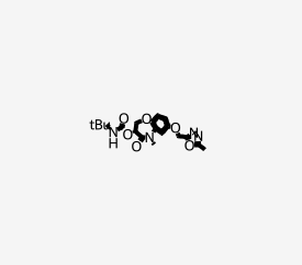 Cc1nnc(COc2ccc3c(c2)N(C)C(=O)[C@@H](OC(=O)NC(C)(C)C)CO3)o1